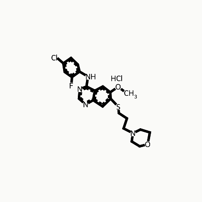 COc1cc2c(Nc3ccc(Cl)cc3F)ncnc2cc1SCCCN1CCOCC1.Cl